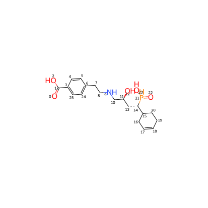 O=C(O)c1ccc(CCNC[C@@H](O)C[C@@H](C2CC=CCC2)[PH](=O)O)cc1